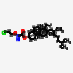 CC(C)CCC[C@@H](C)[C@H]1CC[C@H]2[C@@H]3CC=C4C[C@@H](OC(=O)NOCCCl)CC[C@]4(C)[C@H]3CC[C@]12C